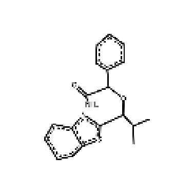 CC(C)C(OC(C(N)=O)c1ccccc1)c1nc2ccccc2s1